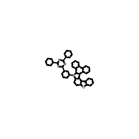 c1ccc(-c2nc(-c3ccccc3)nc(-c3cccc(-n4c5ccc6oc7ccccc7c6c5c5c6ccccc6c6ccccc6c54)c3)n2)cc1